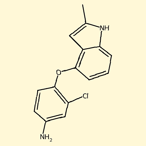 Cc1cc2c(Oc3ccc(N)cc3Cl)cccc2[nH]1